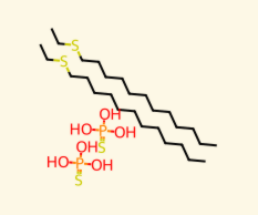 CCCCCCCCCCCCSCC.CCCCCCCCCCCCSCC.OP(O)(O)=S.OP(O)(O)=S